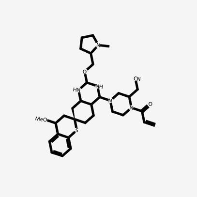 C=CC(=O)N1CCN(C2NC(OCC3CCCN3C)NC3C[C@]4(CCC32)CC(OC)c2ccccc2S4)CC1CC#N